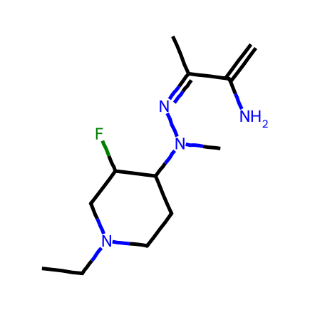 C=C(N)/C(C)=N\N(C)C1CCN(CC)CC1F